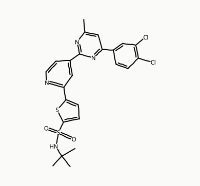 Cc1cc(-c2ccc(Cl)c(Cl)c2)nc(-c2ccnc(-c3ccc(S(=O)(=O)NC(C)(C)C)s3)c2)n1